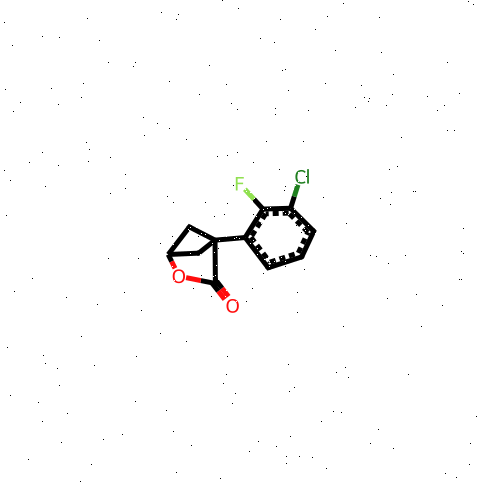 O=C1OC2CC1(c1cccc(Cl)c1F)C2